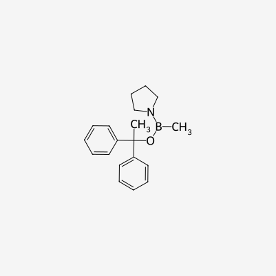 CB(OC(C)(c1ccccc1)c1ccccc1)N1CCCC1